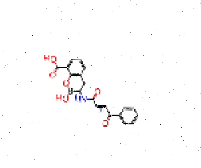 O=C(/C=C/C(=O)c1ccccc1)NC1Cc2cccc(C(=O)O)c2OB1O